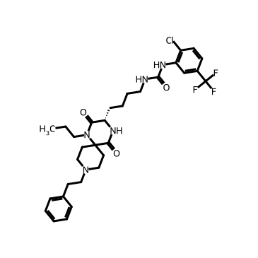 CCCN1C(=O)[C@H](CCCCNC(=O)Nc2cc(C(F)(F)F)ccc2Cl)NC(=O)C12CCN(CCc1ccccc1)CC2